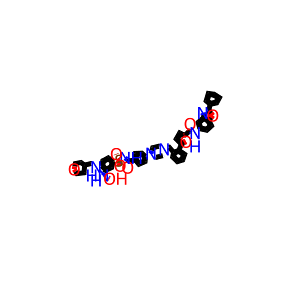 O=C(NS(=O)(=O)c1ccc(NCC2CCOCC2)c(NO)c1)c1ccc(N2CCN(Cc3ccccc3-c3ccc(C(=O)Nc4ccc5oc(-c6ccccc6)nc5c4)o3)CC2)cc1